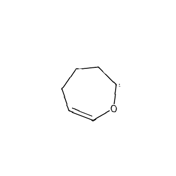 [C]1CCCC=CO1